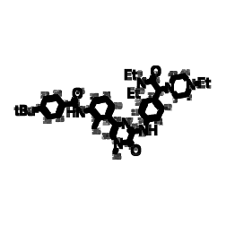 CCN1CCN(C(C(=O)N(CC)CC)c2ccc(Nc3nc(-c4cccc(NC(=O)c5ccc(C(C)(C)C)cc5)c4C)cn(C)c3=O)cc2)CC1